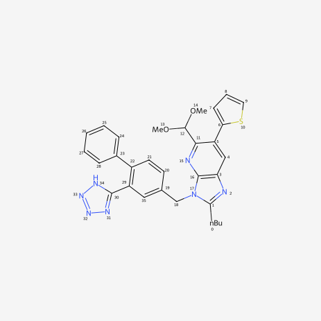 CCCCc1nc2cc(-c3cccs3)c(C(OC)OC)nc2n1Cc1ccc(-c2ccccc2)c(-c2nnn[nH]2)c1